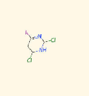 ClC1CC(I)=NC(Cl)N1